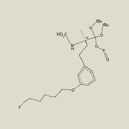 CC(C)(C)OC(OP=O)(OC(C)(C)C)[C@@](C)(CCc1cccc(OCCCCCF)c1)NC(=O)O